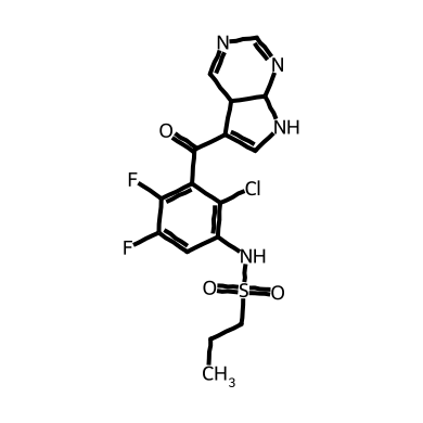 CCCS(=O)(=O)Nc1cc(F)c(F)c(C(=O)C2=CNC3N=CN=CC23)c1Cl